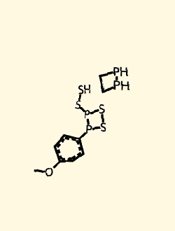 C1CPP1.COc1ccc(P2SSP2SS)cc1